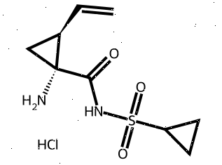 C=C[C@@H]1C[C@]1(N)C(=O)NS(=O)(=O)C1CC1.Cl